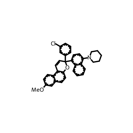 COc1ccc2c3c(ccc2c1)OC(c1cccc(Cl)c1)(c1ccc(N2CCCCC2)c2ccccc12)C=C3